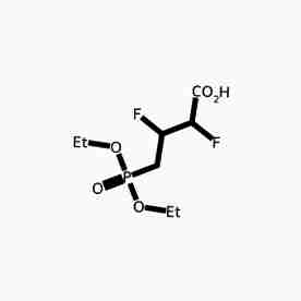 CCOP(=O)(CC(F)C(F)C(=O)O)OCC